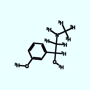 [2H]Oc1cccc(C([2H])(O[2H])C([2H])([2H])N([2H])C([2H])([2H])[2H])c1